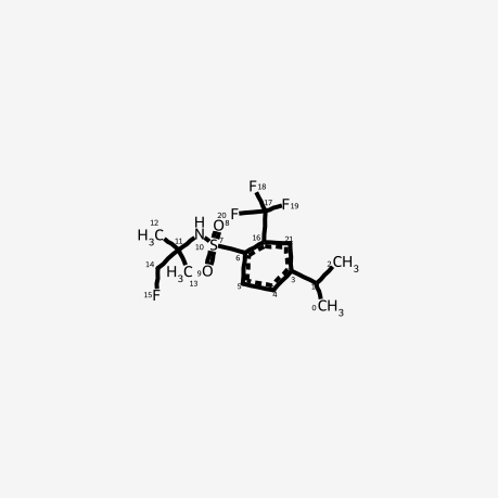 CC(C)c1ccc(S(=O)(=O)NC(C)(C)CF)c(C(F)(F)F)c1